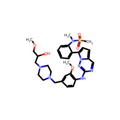 COCC(O)CN1CCN(Cc2ccc(Nc3ncc4ccc(-c5ccccc5N(C)S(C)(=O)=O)n4n3)c(OC)c2)CC1